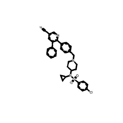 N#Cc1cnc(-c2ccc(CN3CCC(N(C4CC4)S(=O)(=O)c4ccc(Cl)cc4)CC3)cc2)c(-c2ccccc2)c1